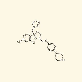 Clc1ccc([C@]2(Cn3ccnc3)OC[C@@H](COc3ccc(N4CCNCC4)cc3)O2)c(Cl)c1